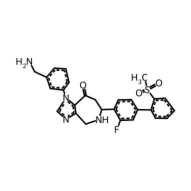 CS(=O)(=O)c1ccccc1-c1ccc(C2CC(=O)c3c(ncn3-c3cccc(CN)c3)CN2)c(F)c1